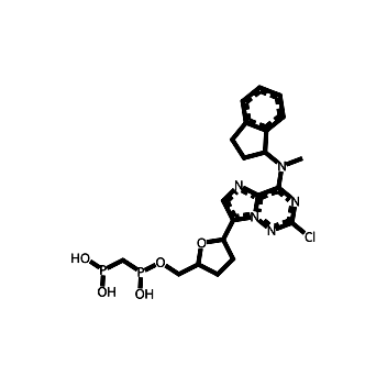 CN(c1nc(Cl)nn2c(C3CCC(COP(O)CP(O)O)O3)cnc12)C1CCc2ccccc21